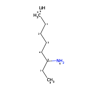 CCCCCC(N)CC.[LiH]